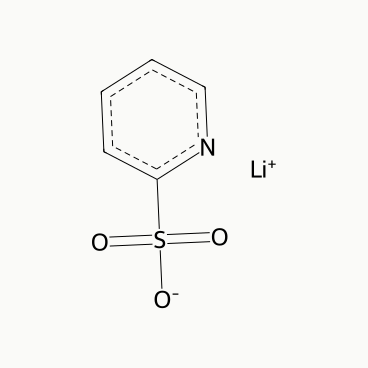 O=S(=O)([O-])c1ccccn1.[Li+]